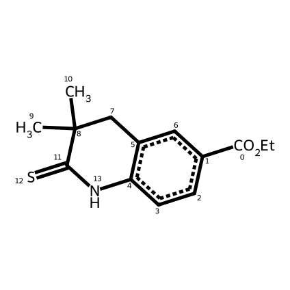 CCOC(=O)c1ccc2c(c1)CC(C)(C)C(=S)N2